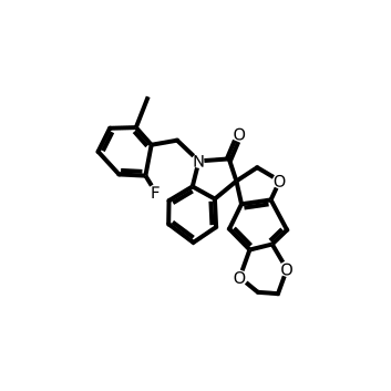 Cc1cccc(F)c1CN1C(=O)C2(COc3cc4c(cc32)OCCO4)c2ccccc21